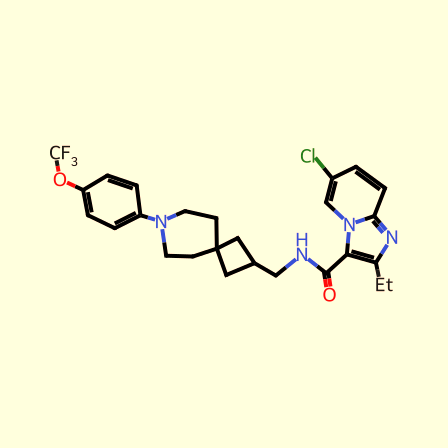 CCc1nc2ccc(Cl)cn2c1C(=O)NCC1CC2(CCN(c3ccc(OC(F)(F)F)cc3)CC2)C1